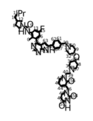 Cc1c(NC(=O)N2CCC(CC(C)C)C2)cc(F)cc1-c1ncnc2[nH]c(-c3ccc(CN4CCC(OC5CCN(CCn6cccc(CN7CCC(=O)NC7=O)c6=O)CC5)CC4)cc3)cc12